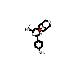 CC(C)Nc1cc(N2C3COCC2COC3)nc(-c2ccc(N)cc2)n1